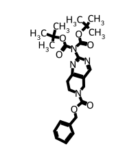 CC(C)(C)OC(=O)N(C(=O)OC(C)(C)C)c1ncc2c(n1)CCN(C(=O)OCc1ccccc1)C2